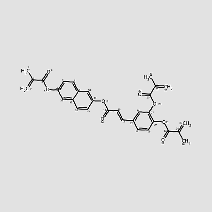 C=C(C)C(=O)Oc1ccc2cc(OC(=O)/C=C/c3ccc(OC(=O)C(=C)C)c(OC(=O)C(=C)C)c3)ccc2c1